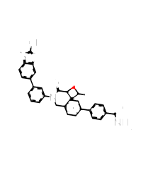 Cc1nc2ccc(-c3cccc(N(CC45CCC(c6ccc(C(N)=O)cc6)(CC4)OC5)C(=O)C45CC(F)(C4)C5)c3)cc2s1